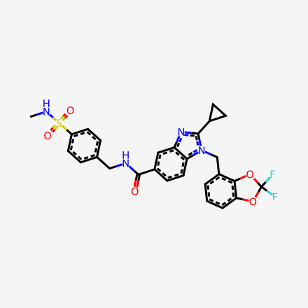 CNS(=O)(=O)c1ccc(CNC(=O)c2ccc3c(c2)nc(C2CC2)n3Cc2cccc3c2OC(F)(F)O3)cc1